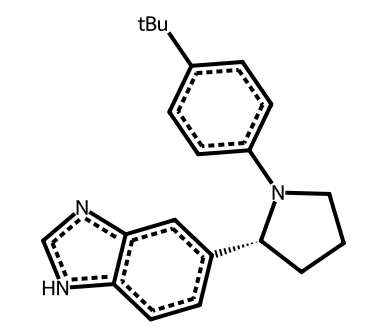 CC(C)(C)c1ccc(N2CCC[C@@H]2c2ccc3[nH]cnc3c2)cc1